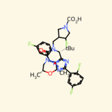 C[C@@H]1CN(C(=O)N(CC2CN(C(=O)O)CC2F)[C@@H](c2nc(-c3cc(F)ccc3F)nn2Cc2cccc(F)c2)C(C)(C)C)C[C@H](C)O1